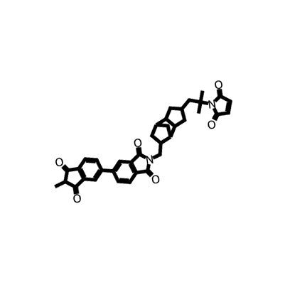 CC1C(=O)c2ccc(-c3ccc4c(c3)C(=O)N(CC3CC5CC3C3CC(CC(C)(C)N6C(=O)C=CC6=O)CC53)C4=O)cc2C1=O